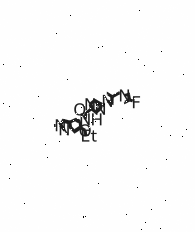 CCOc1cc2nn(C)cc2cc1NC(=O)c1cnc(N2CC(CN3CC(F)C3)C2)cn1